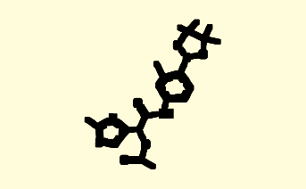 CC(=O)OC(C(=O)Nc1ccc(B2OC(C)(C)C(C)(C)O2)c(C)c1)c1csc(C)n1